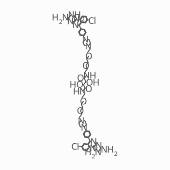 NC(N)=Nc1nc(-c2ccc(N3CCN(CCOCCOCCNC(=O)[C@H](O)[C@@H](O)C(=O)NCCOCCOCCN4CCN(c5ccc(-c6nc(N=C(N)N)nc7ccc(Cl)cc67)cc5)CC4)CC3)cc2)c2cc(Cl)ccc2n1